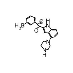 Bc1cccc(S(=O)(=O)c2cc3c(N4CCNCC4)cccc3[nH]2)c1